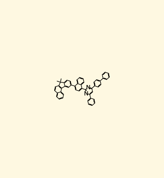 CC1(C)c2ccc(-c3ccc(-c4nc(-c5ccccc5)cc(-c5ccc(-c6ccccc6)cc5)n4)c4ccccc34)cc2-c2c1ccc1ccccc21